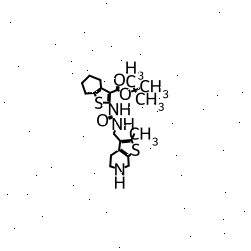 Cc1sc2c(c1CNC(=O)Nc1sc3c(c1C(=O)OC(C)(C)C)CCCC3)CCNC2